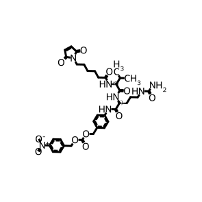 CC(C)[C@H](NC(=O)CCCCCN1C(=O)C=CC1=O)C(=O)N[C@@H](CCCNC(N)=O)C(=O)Nc1ccc(COC(=O)OCc2ccc([N+](=O)[O-])cc2)cc1